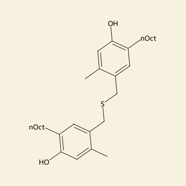 CCCCCCCCc1cc(CSCc2cc(CCCCCCCC)c(O)cc2C)c(C)cc1O